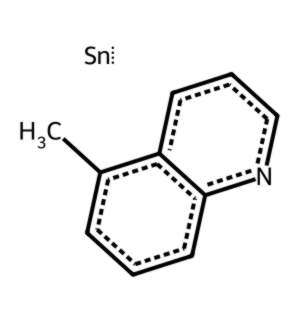 Cc1cccc2ncccc12.[Sn]